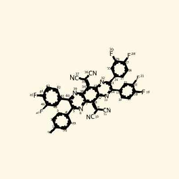 Cc1ccc(-c2nc3c(=C(C#N)C#N)c4nc(-c5ccc(F)c(F)c5)c(-c5ccc(F)c(F)c5)nc4c(=C(C#N)C#N)c3nc2-c2ccc(F)c(F)c2)cc1